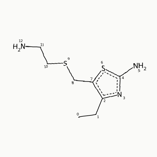 CCc1nc(N)sc1CSCCN